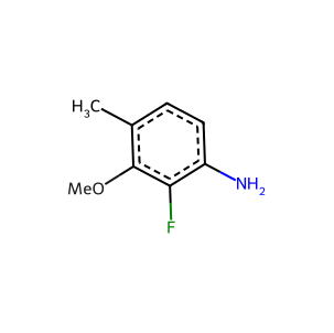 COc1c(C)ccc(N)c1F